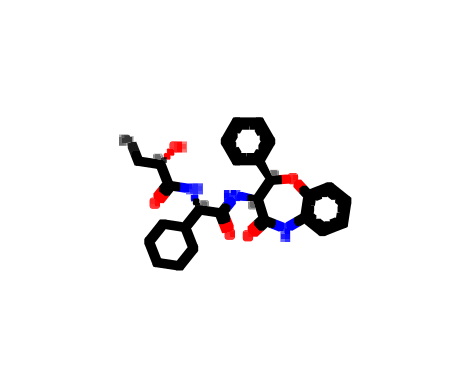 CC(C)C[C@H](O)C(=O)N[C@H](C(=O)N[C@@H]1C(=O)Nc2ccccc2O[C@@H]1c1ccccc1)C1CCCCC1